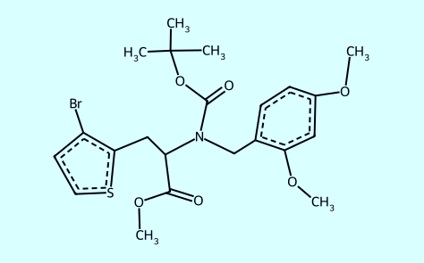 COC(=O)C(Cc1sccc1Br)N(Cc1ccc(OC)cc1OC)C(=O)OC(C)(C)C